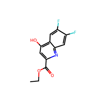 CCOC(=O)c1cc(O)c2cc(F)c(F)cc2n1